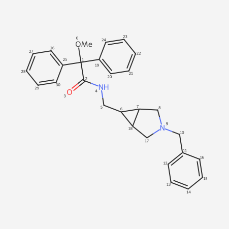 COC(C(=O)NCC1C2CN(Cc3ccccc3)CC12)(c1ccccc1)c1ccccc1